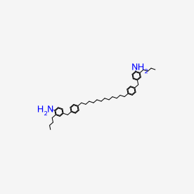 CCCCc1cc(Cc2ccc(CCCCCCCCCCCCc3ccc(Cc4ccc(N)c(CCCC)c4)cc3)cc2)ccc1N